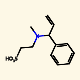 C=CC(c1ccccc1)N(C)CCS(=O)(=O)O